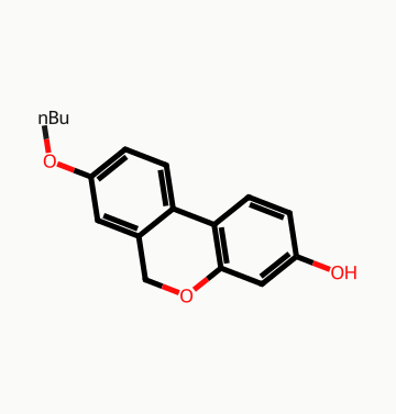 CCCCOc1ccc2c(c1)COc1cc(O)ccc1-2